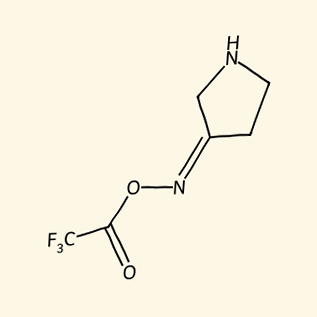 O=C(ON=C1CCNC1)C(F)(F)F